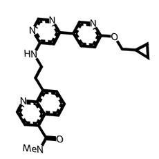 CNC(=O)c1ccnc2c(CCNc3cc(-c4ccc(OCC5CC5)nc4)ncn3)cccc12